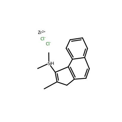 CC1=C([SiH](C)C)c2c(ccc3ccccc23)C1.[Cl-].[Cl-].[Zr+2]